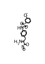 COc1cccc(S(=O)(=O)Nc2ccc(C[C@H](N)C(=O)N=O)cc2)c1